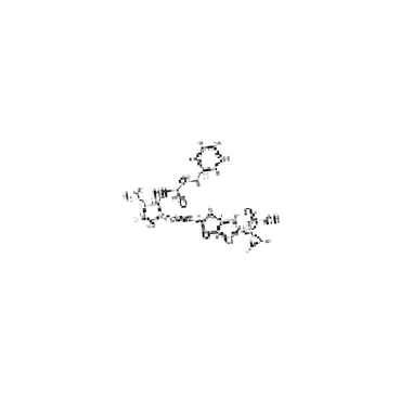 Nc1nsc(C#Cc2cc3cc(C4(C(=O)O)CC4)oc3o2)c1NC(=O)OCc1ccccc1